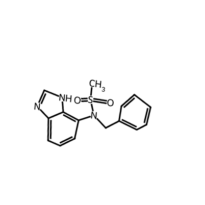 CS(=O)(=O)N(Cc1ccccc1)c1cccc2nc[nH]c12